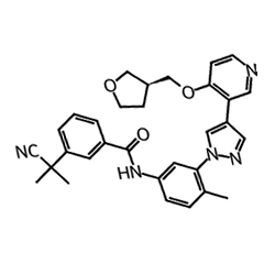 Cc1ccc(NC(=O)c2cccc(C(C)(C)C#N)c2)cc1-n1cc(-c2cnccc2OC[C@H]2CCOC2)cn1